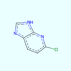 Clc1ccc2nc[nH]c2n1